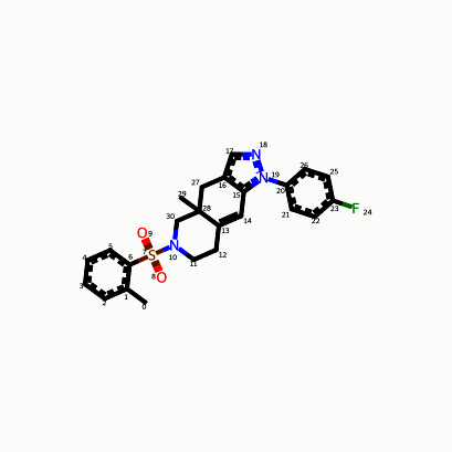 Cc1ccccc1S(=O)(=O)N1CCC2=Cc3c(cnn3-c3ccc(F)cc3)CC2(C)C1